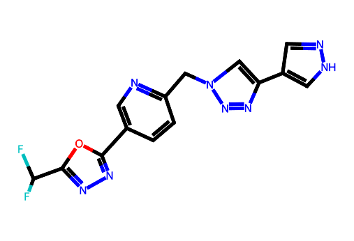 FC(F)c1nnc(-c2ccc(Cn3cc(-c4cn[nH]c4)nn3)nc2)o1